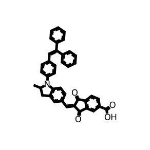 CC1Cc2cc(/C=C3\C(=O)c4ccc(C(=O)O)cc4C3=O)ccc2N1c1ccc(C=C(c2ccccc2)c2ccccc2)cc1